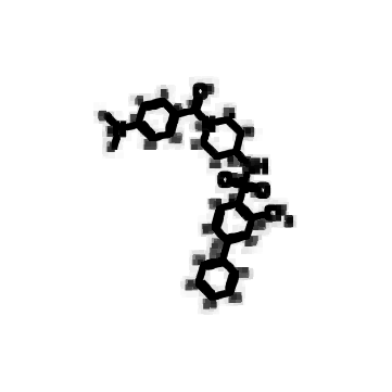 CN(C)c1ccc(C(=O)N2CCC(NS(=O)(=O)c3ccc(-c4ccccc4)cc3C(F)(F)F)CC2)cc1